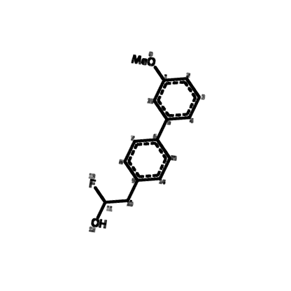 COc1cccc(-c2ccc([CH]C(O)F)cc2)c1